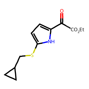 CCOC(=O)C(=O)c1ccc(SCC2CC2)[nH]1